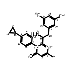 Cc1cc(=O)n(-c2ccc(C3CC3)cc2)c(C(N)Cc2cc(F)cc(F)c2)n1